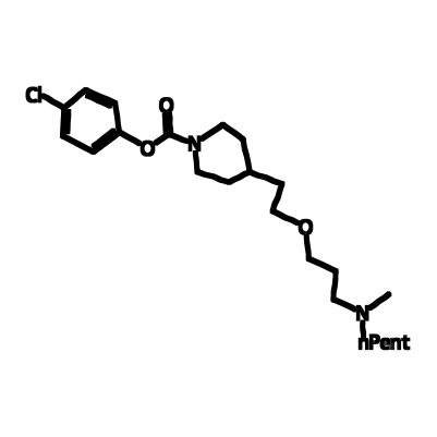 CCCCCN(C)CCCOCCC1CCN(C(=O)Oc2ccc(Cl)cc2)CC1